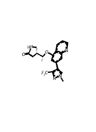 C[C@@H](Oc1cc(-c2cn(C)nc2C(F)(F)F)cc2ncccc12)[C@H]1CNC(=O)C1